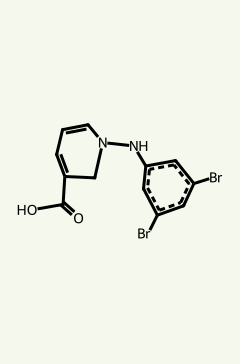 O=C(O)C1=CC=CN(Nc2cc(Br)cc(Br)c2)C1